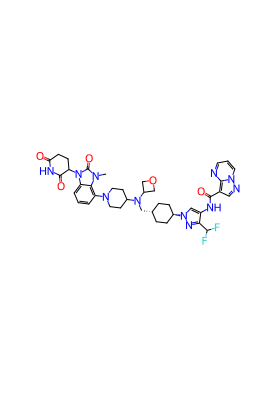 Cn1c(=O)n(C2CCC(=O)NC2=O)c2cccc(N3CCC(N(C[C@H]4CC[C@H](n5cc(NC(=O)c6cnn7cccnc67)c(C(F)F)n5)CC4)C4COC4)CC3)c21